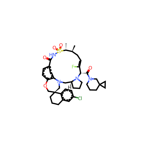 C[C@@H]1[C@@H](C)C/C=C(\F)[C@H](C(=O)N2CCCC3(CC3)C2)N2CCC[C@H]2CN2C[C@@]3(CCCc4cc(Cl)ccc43)COc3ccc(cc32)C(=O)NS1(=O)=O